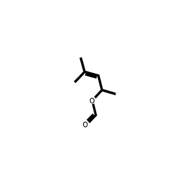 CC(C)=CC(C)OC=O